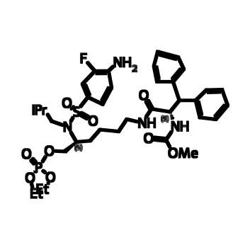 CCOP(=O)(OCC)OC[C@H](CCCCNC(=O)[C@@H](NC(=O)OC)C(c1ccccc1)c1ccccc1)N(CC(C)C)S(=O)(=O)c1ccc(N)c(F)c1